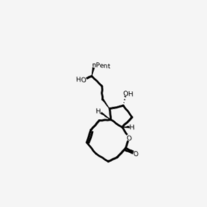 CCCCC[C@H](O)CC[C@@H]1[C@H]2C/C=C\CCCC(=O)O[C@H]2C[C@H]1O